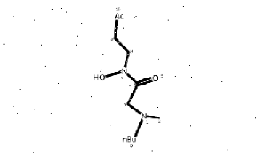 CCCCN(C)CC(=O)N(O)CCC(C)=O